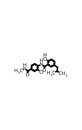 CNC(=O)c1ccc(NC(=O)c2cc(CC(C)C)ccc2O)c(Cl)c1